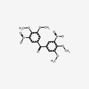 COc1cc(C(=O)c2cc(OC)c(OC)c([N+](=O)[O-])c2)cc([N+](=O)[O-])c1OC